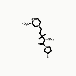 CN[C@H](C(=O)N1CC[C@@H](C)C1)C(C)(C)CCN1CCN[C@H](C(=O)O)C1